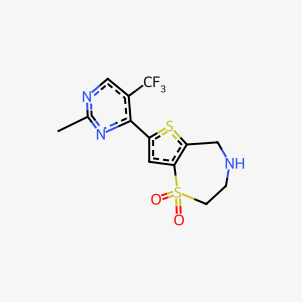 Cc1ncc(C(F)(F)F)c(-c2cc3c(s2)CNCCS3(=O)=O)n1